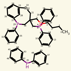 CCCCOCC1(CP(c2ccccc2)c2ccccc2)[CH2][Ru][c]2cccc(c2)P(c2ccccc2)C1.c1ccc(Pc2ccccc2)cc1